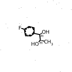 C[C@@H](O)[C@H](O)c1ccc(F)cc1